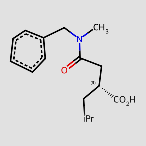 CC(C)C[C@H](CC(=O)N(C)Cc1ccccc1)C(=O)O